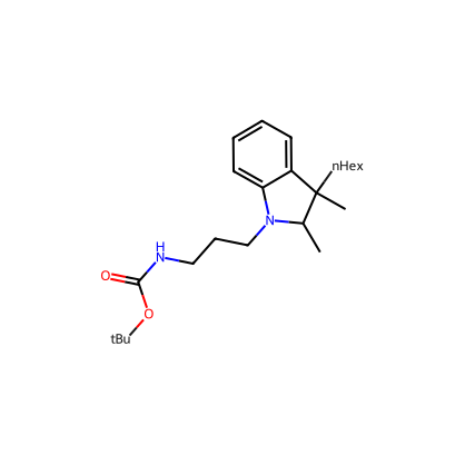 CCCCCCC1(C)c2ccccc2N(CCCNC(=O)OC(C)(C)C)C1C